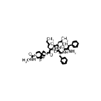 CCCC[C@@H](NC(=O)[C@@H](CC(C)C)NC(=O)[C@@H](Cc1ccccc1)NC(=O)[C@H](N)Cc1ccccc1)C(=O)N1CC2(CCN(C(=O)NC)CC2(F)F)C1